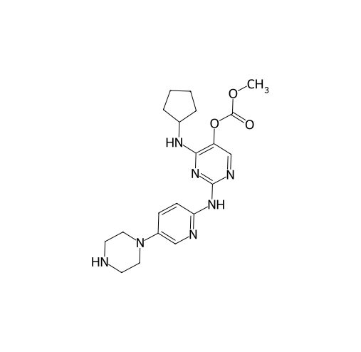 COC(=O)Oc1cnc(Nc2ccc(N3CCNCC3)cn2)nc1NC1CCCC1